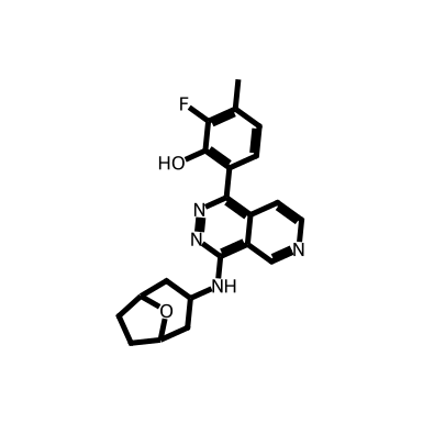 Cc1ccc(-c2nnc(NC3CC4CCC(C3)O4)c3cnccc23)c(O)c1F